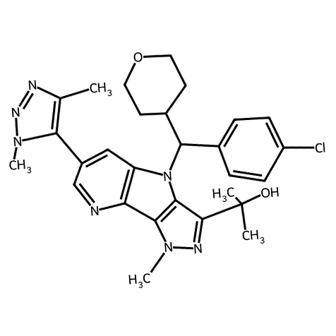 Cc1nnn(C)c1-c1cnc2c3c(c(C(C)(C)O)nn3C)n(C(c3ccc(Cl)cc3)C3CCOCC3)c2c1